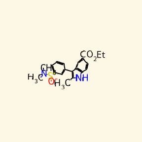 CCOC(=O)c1ccc2[nH]c(C)c(-c3cccc([S+]([O-])N(C)C)c3)c2c1